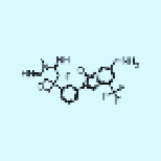 CN(C=N)C(=N)[C@H](F)C1(c2cccc(-n3cc4c(C(F)(F)F)cc(CN)cn4c3=O)c2)COC1